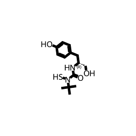 CC(C)(C)N(S)C(=O)N[C@@H](CO)Cc1ccc(O)cc1